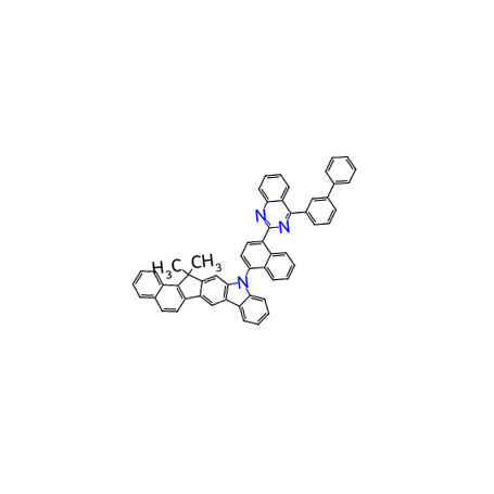 CC1(C)c2cc3c(cc2-c2ccc4ccccc4c21)c1ccccc1n3-c1ccc(-c2nc(-c3cccc(-c4ccccc4)c3)c3ccccc3n2)c2ccccc12